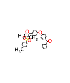 Cc1ccc(S(=O)(=O)C(C)(C)C(=O)c2ccc(Oc3ccc(C(=O)c4ccccc4)cc3)cc2)cc1